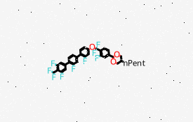 CCCCCC1COC(c2ccc(C(F)(F)Oc3ccc(-c4ccc(-c5cc(F)c(C(F)F)c(F)c5)c(F)c4)c(F)c3)c(F)c2)OC1